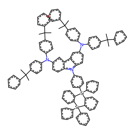 CC(C)(c1ccccc1)c1ccc(N(c2ccc(C(C)(C)c3ccccc3)cc2)c2ccc3c(c2)c2cc(N(c4ccc(C(C)(C)c5ccccc5)cc4)c4ccc(C(C)(C)c5ccccc5)cc4)ccc2n3-c2ccc([Si]3(c4ccccc4)c4ccccc4[Si](c4ccccc4)(c4ccccc4)c4ccccc43)cc2)cc1